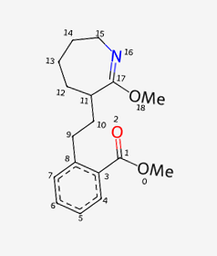 COC(=O)c1ccccc1CCC1CCCCN=C1OC